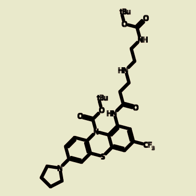 CC(C)(C)OC(=O)NCCNCCC(=O)Nc1cc(C(F)(F)F)cc2c1N(C(=O)OC(C)(C)C)c1ccc(N3CCCC3)cc1S2